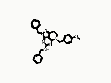 COc1ccc(CN2CCc3nn(Cc4ccccc4)c4nc(NCc5ccccc5)nc2c34)cc1